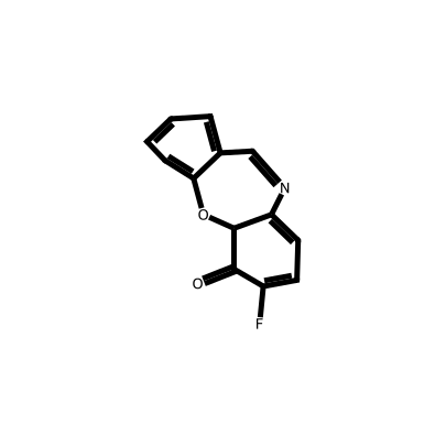 O=C1C(F)=CC=C2N=Cc3ccccc3OC12